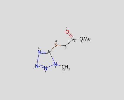 [CH2]OC(=O)CSc1nnnn1C